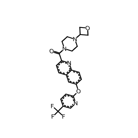 O=C(c1ccc2cc(Oc3ccc(C(F)(F)F)cn3)ccc2n1)N1CCN(C2COC2)CC1